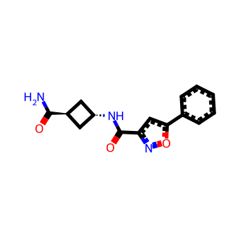 NC(=O)[C@H]1C[C@H](NC(=O)c2cc(-c3ccccc3)on2)C1